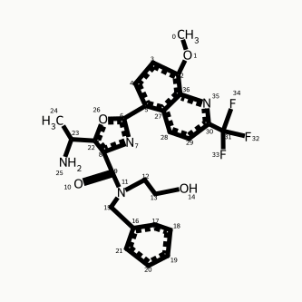 COc1ccc(-c2nc(C(=O)N(CCO)Cc3ccccc3)c(C(C)N)o2)c2ccc(C(F)(F)F)nc12